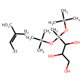 CCC=C(C)C(=O)O.C[Si](C)(C)O[Si](C)(O[Si](C)(C)C)C(O)C(O)CO